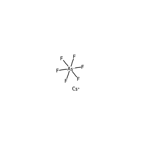 F[As-](F)(F)(F)(F)F.[Cs+]